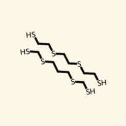 SCCSCCSCCS.SCSCCCSCS